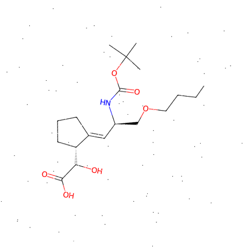 CCCCOC[C@@H](/C=C1\CCC[C@H]1C(O)C(=O)O)NC(=O)OC(C)(C)C